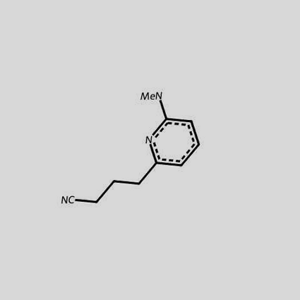 CNc1cccc(CCCC#N)n1